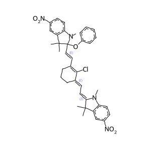 CN1/C(=C\C=C2/CCCC(/C=C/C3(Oc4ccccc4)N(C)c4ccc([N+](=O)[O-])cc4C3(C)C)=C2Cl)C(C)(C)c2cc([N+](=O)[O-])ccc21